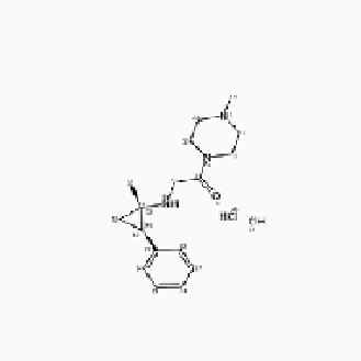 CN1CCN(C(=O)CN[C@@]2(C)C[C@@H]2c2ccccc2)CC1.Cl.Cl